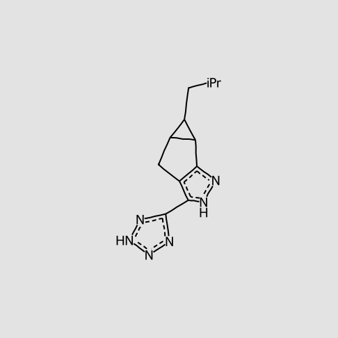 CC(C)CC1C2Cc3c(n[nH]c3-c3nn[nH]n3)C21